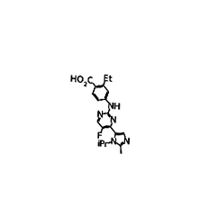 CCc1cc(Nc2ncc(F)c(-c3cnc(C)n3C(C)C)n2)ccc1C(=O)O